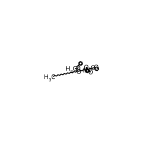 CCCCCCCCCCCCCCCC(OCCCn1ccc(=O)n(CCOC2CCCCO2)c1=O)C(C)OCc1ccccc1